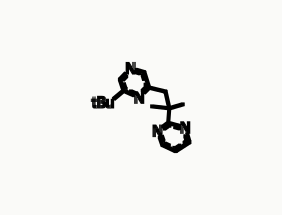 CC(C)(C)c1cncc(CC(C)(C)c2ncccn2)n1